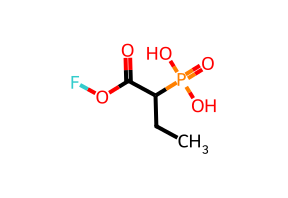 CCC(C(=O)OF)P(=O)(O)O